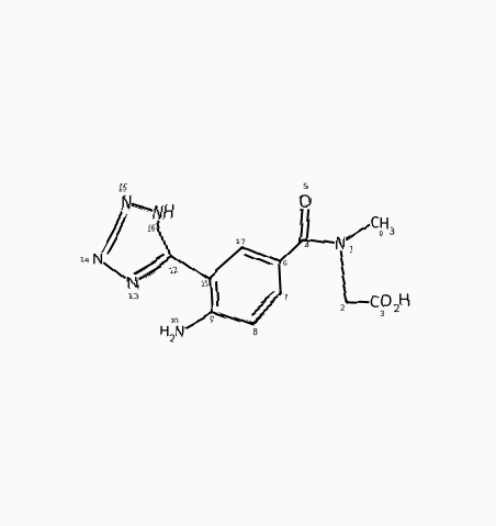 CN(CC(=O)O)C(=O)c1ccc(N)c(-c2nnn[nH]2)c1